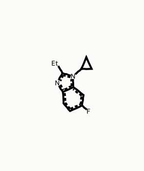 CCc1nc2ccc(F)cc2n1C1CC1